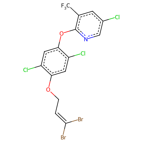 FC(F)(F)c1cc(Cl)cnc1Oc1cc(Cl)c(OCC=C(Br)Br)cc1Cl